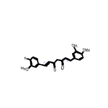 COc1ccc(/C=C/C(=O)CC(=O)/C=C/c2ccc(F)c(OC)c2)cc1O